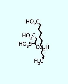 C=CCCCCCCCCC(=O)O.O=C(O)CC(C(=O)O)S(=O)(=O)O